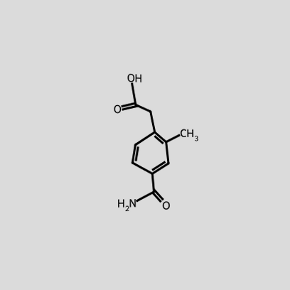 Cc1cc(C(N)=O)ccc1CC(=O)O